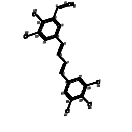 C=Cc1cc(/C=C/C=C/c2cc(Cl)c(Cl)c(Cl)c2)cc(Cl)c1Cl